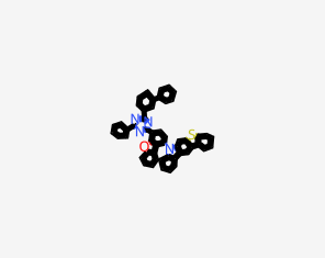 c1ccc(-c2cccc(-c3nc(-c4ccccc4)nc(-c4ccc(-n5c6ccccc6c6cc7c(cc65)sc5ccccc57)c5c4oc4ccccc45)n3)c2)cc1